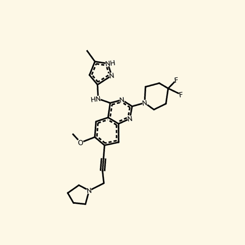 COc1cc2c(Nc3cc(C)[nH]n3)nc(N3CCC(F)(F)CC3)nc2cc1C#CCN1CCCC1